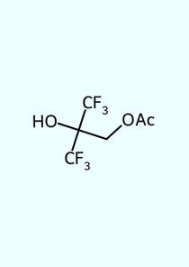 CC(=O)OCC(O)(C(F)(F)F)C(F)(F)F